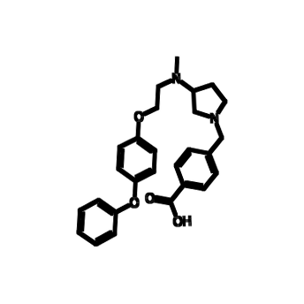 CN(CCOc1ccc(Oc2ccccc2)cc1)C1CCN(Cc2ccc(C(=O)O)cc2)C1